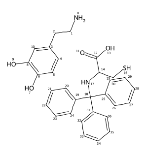 NCCc1ccc(O)c(O)c1.O=C(O)C(CS)NC(c1ccccc1)(c1ccccc1)c1ccccc1